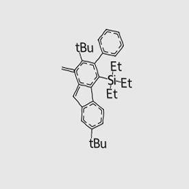 C=c1c(C(C)(C)C)c(-c2ccccc2)c([Si](CC)(CC)CC)c2c1=Cc1cc(C(C)(C)C)ccc1-2